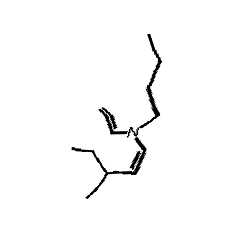 C=CN(/C=C\C(C)CC)CCCC